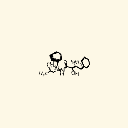 CC(C)CN(NC(=O)C(O)[C@H](N)CC1CCCCC1)c1ccccc1